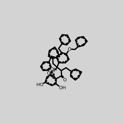 O=C(c1c(O)cc(O)cc1O)C(Cc1ccccc1)C(Cc1ccccc1)(c1ccc(OCc2ccccc2)c(Cc2ccccc2)c1Cc1ccccc1)P(=O)=O